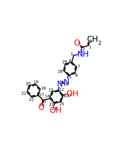 C=CC(=O)NCc1ccc(/N=N/c2cc(C(=O)c3ccccc3)c(O)cc2O)cc1